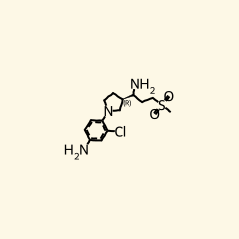 CS(=O)(=O)CCC(N)[C@@H]1CCN(c2ccc(N)cc2Cl)C1